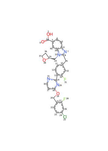 O=C(O)c1ccc2nc(Cc3ccc(-c4nccc(OCc5ccc(Cl)cc5F)n4)c(F)c3)n(C[C@@H]3CCO3)c2c1